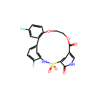 O=C1OCCOc2ccc(F)cc2-c2ccc(F)c(c2)NS(=O)(=O)c2cc1c[nH]c2=O